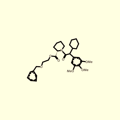 COc1cc(C(C(=O)N2CCCC[C@H]2C(=O)OCCOCc2ccccc2)C2CCCCC2)cc(OC)c1OC